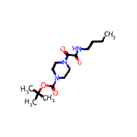 CCCCNC(=O)C(=O)N1CCN(C(=O)OC(C)(C)C)CC1